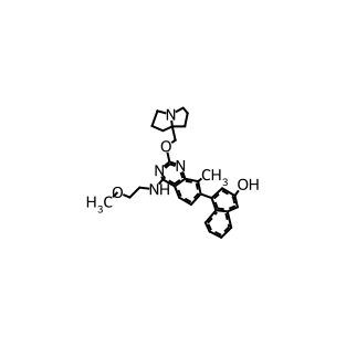 COCCNc1nc(OCC23CCCN2CCC3)nc2c(C)c(-c3cc(O)cc4ccccc34)ccc12